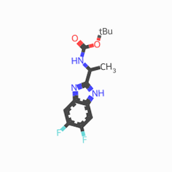 CC(NC(=O)OC(C)(C)C)c1nc2cc(F)c(F)cc2[nH]1